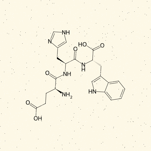 N[C@@H](CCC(=O)O)C(=O)N[C@@H](Cc1c[nH]cn1)C(=O)N[C@@H](Cc1c[nH]c2ccccc12)C(=O)O